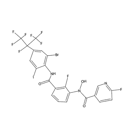 O=C(Nc1c(Br)cc(C(F)(C(F)(F)F)C(F)(F)F)cc1I)c1cccc(N(O)C(=O)c2ccc(F)nc2)c1F